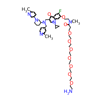 Cc1ccc(N2CCCC(N(Cc3ccnc(C)c3)Cc3cn(C4CC4)c4cc(OCCN(C)C(=O)CCOCCOCCOCCOCCOCCOCCOCCN)c(F)cc4c3=O)C2)cn1